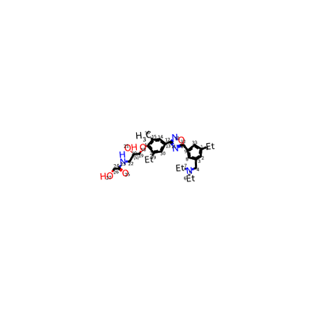 CCc1cc(CN(CC)CC)cc(-c2nc(-c3cc(C)c(OC[C@@H](O)CNC(=O)CO)c(CC)c3)no2)c1